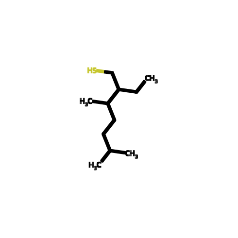 CCC(CS)C(C)CCC(C)C